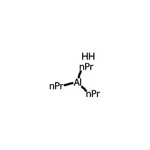 CC[CH2][Al]([CH2]CC)[CH2]CC.[HH]